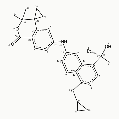 CC[C@@](C)(O)c1cnc(OC2CC2)c2cnc(Nc3ccc4c(n3)C3(CC3)C(C)(C)OC4=O)cc12